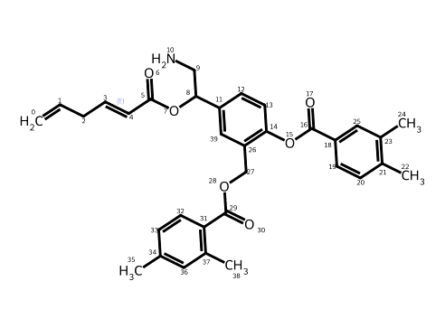 C=CC/C=C/C(=O)OC(CN)c1ccc(OC(=O)c2ccc(C)c(C)c2)c(COC(=O)c2ccc(C)cc2C)c1